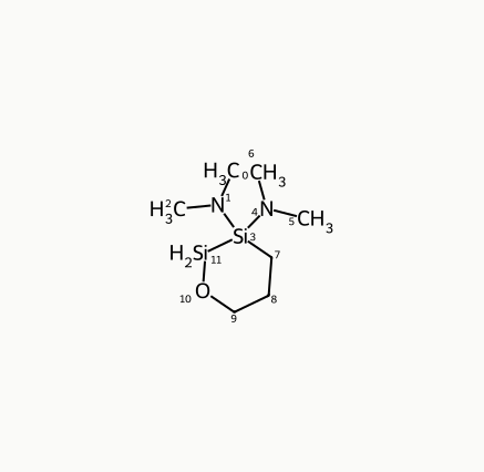 CN(C)[Si]1(N(C)C)CCCO[SiH2]1